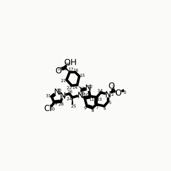 COC(=O)N1CCc2ccc3c(nc([C@H]4CC[C@H](C(=O)O)CC4)n3[C@@H](C)Cn3cc(Cl)cn3)c2C1